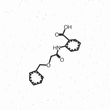 O=C(COCc1ccccc1)Nc1ccccc1C(=O)O